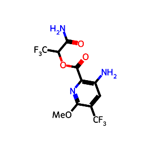 COc1nc(C(=O)OC(C(N)=O)C(F)(F)F)c(N)cc1C(F)(F)F